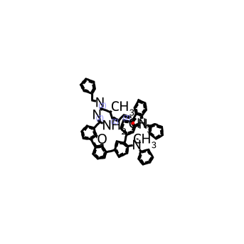 C/C=C\C=C/C(C)C(/N=C(\N)c1cccc2c1oc1c(-c3ccc(N(C)c4ccccc4)c(-c4ccc5c6ccccc6n(-c6ccccc6)c5c4)c3)cccc12)=N/Cc1ccccc1